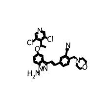 CC(Oc1ccc2c(c1)c(/C=C/c1ccc(CN3CCOCC3)c(C#N)c1)nn2N)c1c(Cl)cncc1Cl